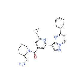 NCC1CCCCN1C(=O)c1cc(-c2cnn3ccc(-c4ccccc4)nc23)nc(C2CC2)c1